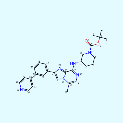 CC(C)(C)OC(=O)N1CCC[C@H](Nc2ncc(I)n3cc(-c4cccc(-c5ccncc5)c4)nc23)C1